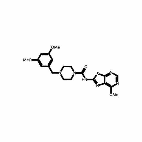 COc1cc(CN2CCN(C(=O)Nc3nc4c(OC)ncnc4s3)CC2)cc(OC)c1